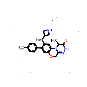 Cc1ccc(-c2cc3c(cc2[AsH]C2CNC2)N2C(=NNC(=O)C2C)CO3)cc1